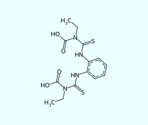 CCN(C(=O)O)C(=S)Nc1ccccc1NC(=S)N(CC)C(=O)O